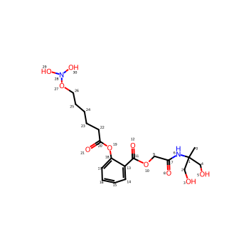 CC(CO)(CO)NC(=O)COC(=O)c1ccccc1OC(=O)CCCCCON(O)O